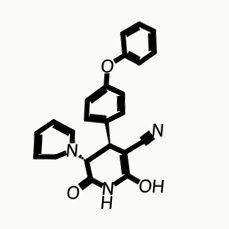 N#CC1=C(O)NC(=O)[C@H](N2C=CC=CC2)[C@H]1c1ccc(Oc2ccccc2)cc1